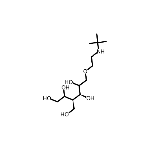 CC(C)(C)NCCOCC(O)[C@@H](O)[C@@H](CO)C(O)CO